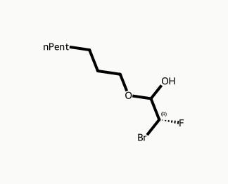 CCCCCCCCOC(O)[C@H](F)Br